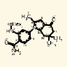 CCCCCCNc1cc(-n2c(C)cc3c2CC(C)(C)CC3=O)ccc1C(N)=O